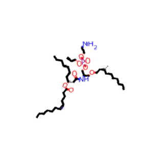 C=CCOP(=O)(OCCN)OCC(COCC[C@H](C)CCCCCCC)NC(=O)C[C@@H](CCCCCCC)OC(=O)CCC/C=C\CCCCCC